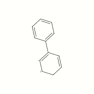 [C]1[C]=C(c2ccccc2)C=CC1